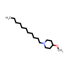 CCCCCCCCCCCN1CCC(OC)CC1